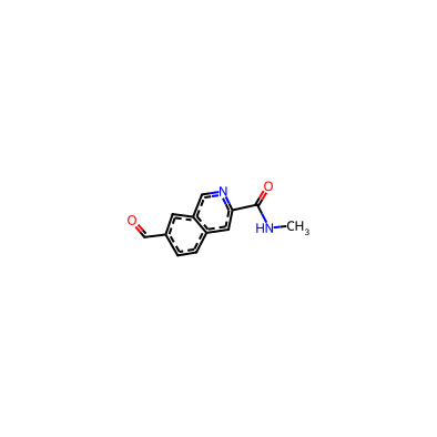 CNC(=O)c1cc2ccc(C=O)cc2cn1